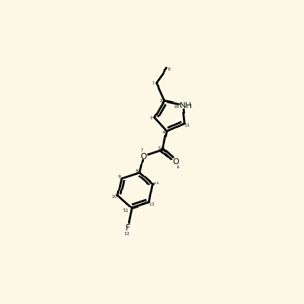 CCc1cc(C(=O)Oc2ccc(F)cc2)c[nH]1